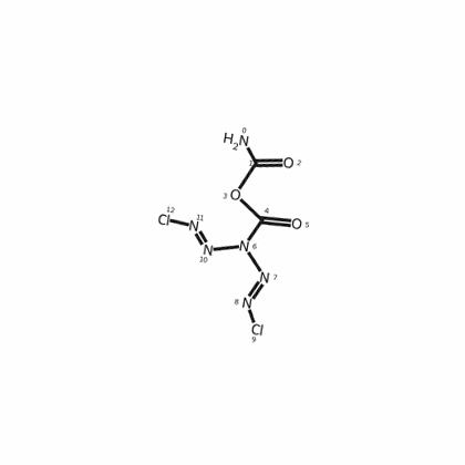 NC(=O)OC(=O)N(/N=N/Cl)/N=N/Cl